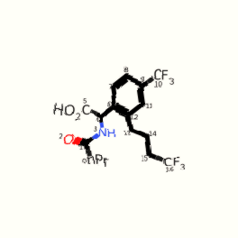 CCCC(=O)NC(C(=O)O)c1ccc(C(F)(F)F)cc1CCCC(F)(F)F